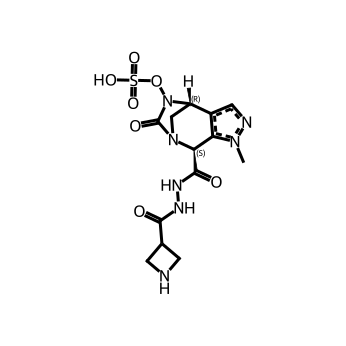 Cn1ncc2c1[C@@H](C(=O)NNC(=O)C1CNC1)N1C[C@@H]2N(OS(=O)(=O)O)C1=O